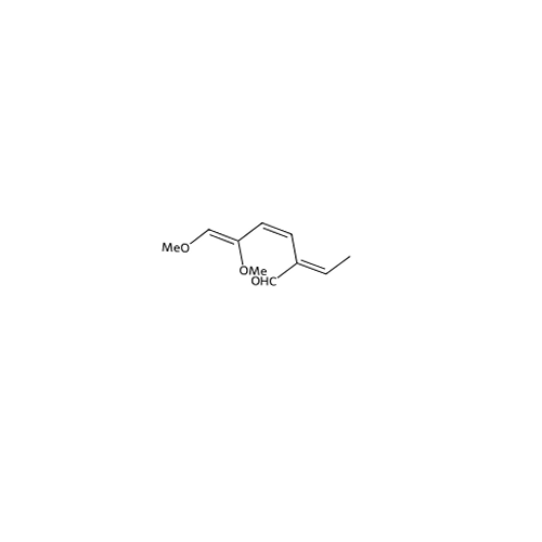 C\C=C(C=O)/C=C\C(=C\OC)OC